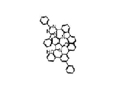 O=C1c2c(cccc2-n2c3ccccc3c3cccc(-c4nc(-c5ccccc5)nc(-c5ccccc5)n4)c32)C(O)N1c1c(-c2ccccc2)cc(-c2ccccc2)cc1-c1ccccc1